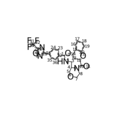 O=C(NCC1COCCN1C(=O)C1CCc2ccccc2O1)c1ccc(-c2noc(C(F)(F)F)n2)cc1